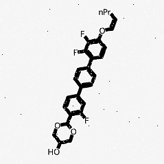 CCC/C=C\Oc1ccc(-c2ccc(-c3ccc(C4OCC(O)CO4)c(F)c3)cc2)c(F)c1F